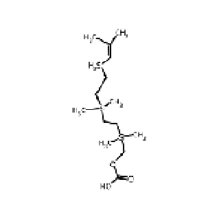 CC(C)=C[SiH2]CC[Si](C)(C)CC[Si](C)(C)COC(=O)O